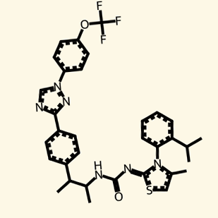 Cc1cs/c(=N\C(=O)NC(C)C(C)c2ccc(-c3ncn(-c4ccc(OC(F)(F)F)cc4)n3)cc2)n1-c1ccccc1C(C)C